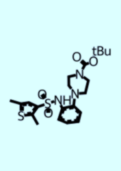 Cc1cc(S(=O)(=O)Nc2ccccc2N2CCN(C(=O)OC(C)(C)C)CC2)c(C)s1